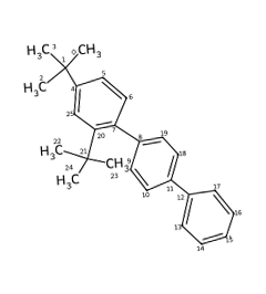 CC(C)(C)c1ccc(-c2ccc(-c3cc[c]cc3)cc2)c(C(C)(C)C)c1